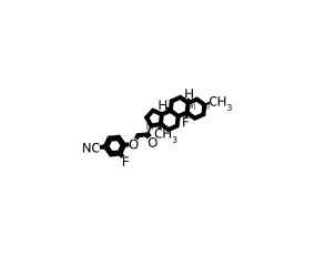 C[C@H]1CC[C@]2(F)C3CC[C@@]4(C)C(CC[C@@H]4C(=O)COc4ccc(C#N)cc4F)[C@@H]3CC[C@@H]2C1